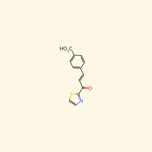 O=C(O)c1ccc(/C=C/C(=O)c2nccs2)cc1